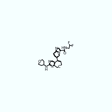 O=C(NCC(F)F)c1cnc2ccc(C3=CCCCc4nc(NC5CCOCC5)ncc43)cn12